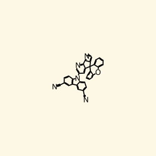 N#Cc1ccc2c(c1)c1cc(C#N)ccc1n2-c1cnc2c(c1)C1(c3ccccc3Oc3ccccc31)c1cccnc1-2